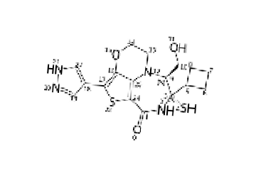 O=C1N[C@](S)(C2CCC2)[C@H](CO)N2CCOc3c(-c4cn[nH]c4)sc1c32